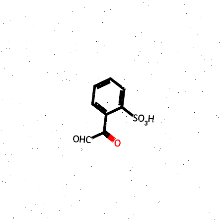 O=CC(=O)c1ccccc1S(=O)(=O)O